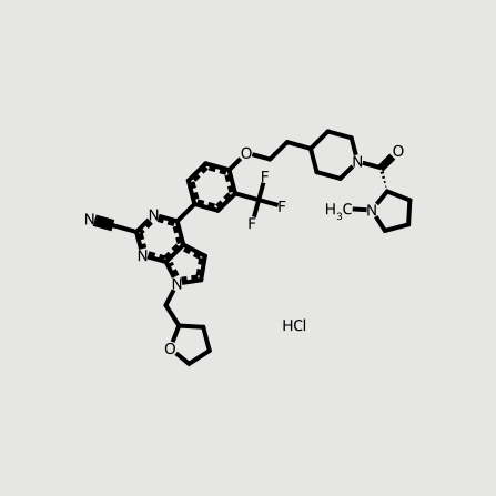 CN1CCC[C@H]1C(=O)N1CCC(CCOc2ccc(-c3nc(C#N)nc4c3ccn4CC3CCCO3)cc2C(F)(F)F)CC1.Cl